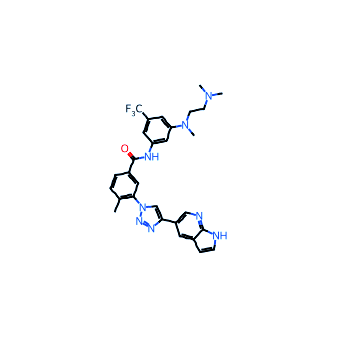 Cc1ccc(C(=O)Nc2cc(N(C)CCN(C)C)cc(C(F)(F)F)c2)cc1-n1cc(-c2cnc3[nH]ccc3c2)nn1